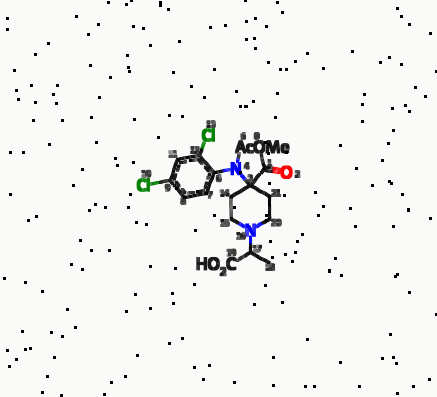 COC(=O)C1(N(C(C)=O)c2ccc(Cl)cc2Cl)CCN(C(C)C(=O)O)CC1